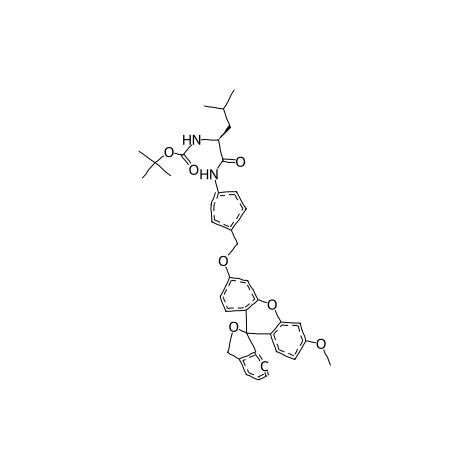 COc1ccc2c(c1)Oc1cc(OCc3ccc(NC(=O)[C@H](CC(C)C)NC(=O)OC(C)(C)C)cc3)ccc1C21OCc2ccccc21